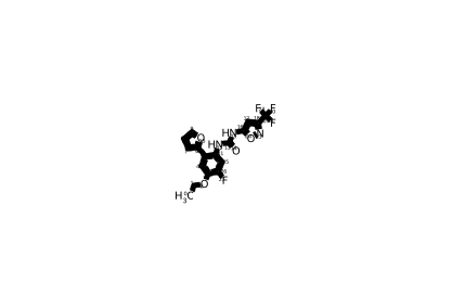 CCOc1cc(-c2ccco2)c(NC(=O)Nc2cc(C(F)(F)F)no2)cc1F